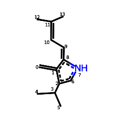 C=c1c(C(C)C)c[nH]/c1=C/C=C(C)C